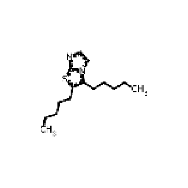 CCCCCc1sc2nccn2c1CCCCC